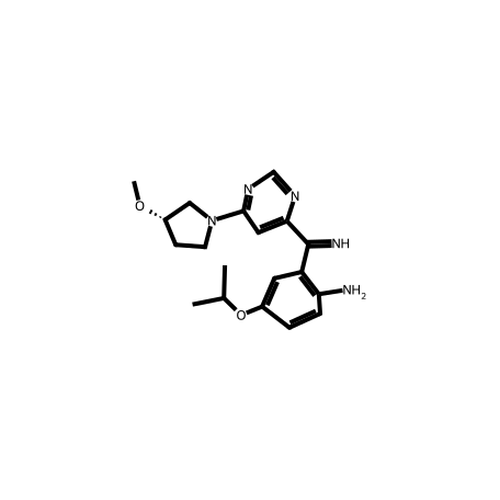 CO[C@H]1CCN(c2cc(C(=N)c3cc(OC(C)C)ccc3N)ncn2)C1